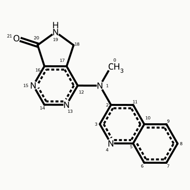 CN(c1cnc2ccccc2c1)c1ncnc2c1CNC2=O